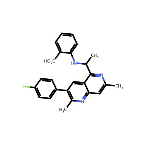 Cc1cc2nc(C)c(-c3ccc(F)cc3)cc2c(C(C)Nc2ccccc2C(=O)O)n1